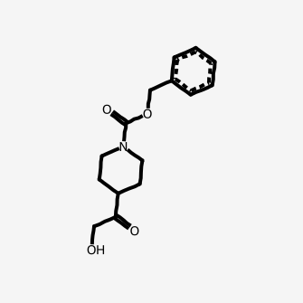 O=C(CO)C1CCN(C(=O)OCc2ccccc2)CC1